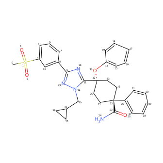 CS(=O)(=O)c1cccc(-c2nc([C@]3(Oc4ccccc4)CC[C@@](C(N)=O)(c4ccccc4)CC3)n(CC3CC3)n2)c1